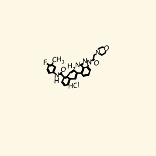 Cc1cc(NC(=O)c2cccc3cc(-c4cccc5c4c(N)nn5C(=O)CN4CCOCC4)ccc23)ccc1F.Cl